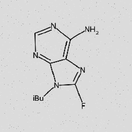 CCC(C)n1c(F)nc2c(N)ncnc21